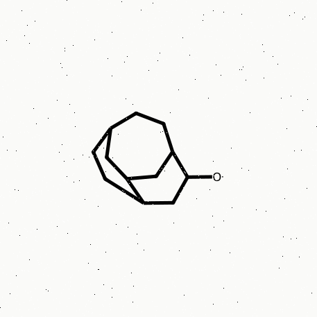 [O]C1CC2CCC3CCC1CC2C3